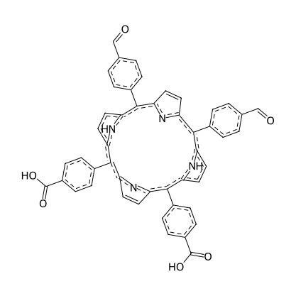 O=Cc1ccc(-c2c3nc(c(-c4ccc(C=O)cc4)c4ccc([nH]4)c(-c4ccc(C(=O)O)cc4)c4nc(c(-c5ccc(C(=O)O)cc5)c5ccc2[nH]5)C=C4)C=C3)cc1